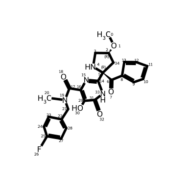 CO[C@H]1CN[C@@](C(=O)c2ccccc2)(c2nc(C(=O)N(C)Cc3ccc(F)cc3)c(O)c(=O)[nH]2)C1